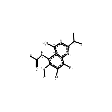 COc1c(O)c(F)c2nc(C(C)C)nc(N)c2c1NC(C)=S